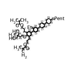 C=C(C)C(=O)OCCCc1cc(-c2ccc(C3C=CC(C4CCC(CCCCC)CC4)=CC3)cc2CC)cc(CCCOC(=O)C(=C)C)c1OCCC(C)(CO)CO